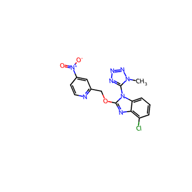 Cn1nnnc1-n1c(OCc2cc([N+](=O)[O-])ccn2)nc2c(Cl)cccc21